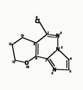 Clc1nn2ccnc2c2c1CCCO2